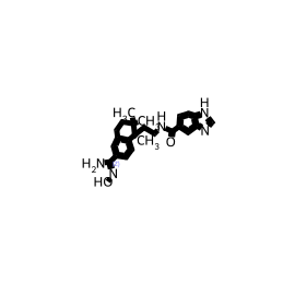 CC1(C)CCc2cc(/C(N)=N/O)ccc2C1(C)CCNC(=O)c1ccc2[nH]cnc2c1